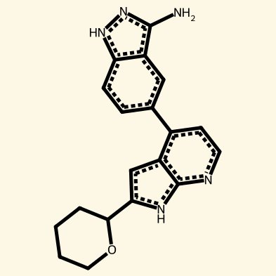 Nc1n[nH]c2ccc(-c3ccnc4[nH]c(C5CCCCO5)cc34)cc12